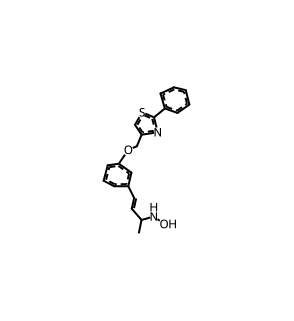 CC(/C=C/c1cccc(OCc2csc(-c3ccccc3)n2)c1)NO